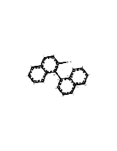 Fc1ccc2ccccc2c1-c1cccc2ccccc12